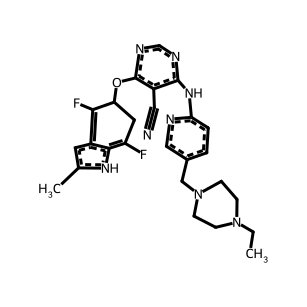 CCN1CCN(Cc2ccc(Nc3ncnc(OC4CC(F)=c5[nH]c(C)cc5=C4F)c3C#N)nc2)CC1